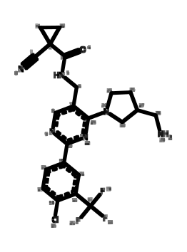 N#CC1(C(=O)NCc2cnc(-c3ccc(Cl)c(C(F)(F)F)c3)nc2N2CCC(CN)C2)CC1